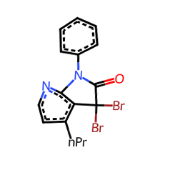 CCCc1ccnc2c1C(Br)(Br)C(=O)N2c1ccccc1